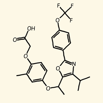 Cc1cc(OC(C)c2oc(-c3ccc(OC(F)(F)F)cc3)nc2C(C)C)ccc1OCC(=O)O